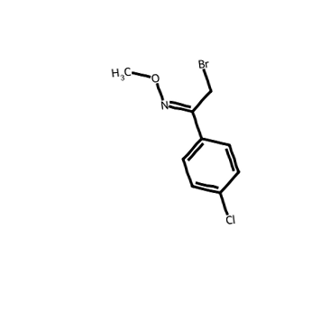 CON=C(CBr)c1ccc(Cl)cc1